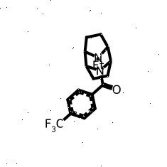 CCN1C2CCC1C1CCC2N1C(=O)c1ccc(C(F)(F)F)cc1